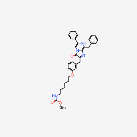 CC(C)(C)OC(=O)NCCCCCCOc1cccc(Cc2nc3c(Cc4ccccc4)[nH]c(-c4ccccc4)cn-3c2=O)c1